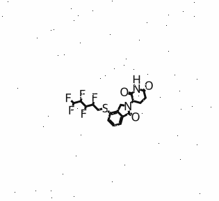 O=C1CCC(N2Cc3c(SCC(F)C(F)C(F)C(F)F)cccc3C2=O)C(=O)N1